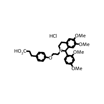 COc1ccc(C2c3cc(OC)c(OC)cc3CCN2CCOc2ccc(CCC(=O)O)cc2)c(OC)c1.Cl